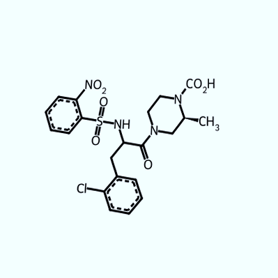 C[C@H]1CN(C(=O)C(Cc2ccccc2Cl)NS(=O)(=O)c2ccccc2[N+](=O)[O-])CCN1C(=O)O